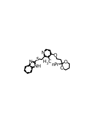 CCCC1(CCOc2ccnc(CSc3nc4ccccc4[nH]3)c2C)OCCCO1